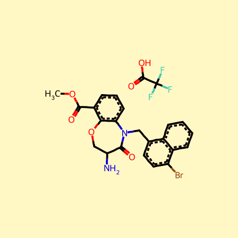 COC(=O)c1cccc2c1OCC(N)C(=O)N2Cc1ccc(Br)c2ccccc12.O=C(O)C(F)(F)F